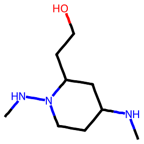 CNC1CCN(NC)C(CCO)C1